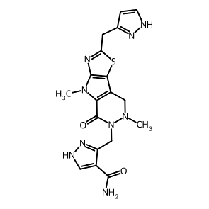 CN1Cc2c(n(C)c3nc(Cc4cc[nH]n4)sc23)C(=O)N1Cc1n[nH]cc1C(N)=O